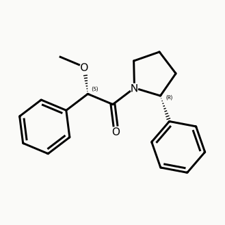 CO[C@H](C(=O)N1CCC[C@@H]1c1ccccc1)c1ccccc1